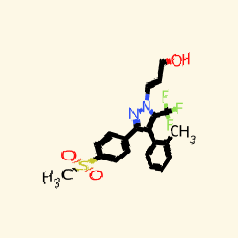 Cc1ccccc1-c1c(-c2ccc(S(C)(=O)=O)cc2)nn(CCCO)c1C(F)(F)F